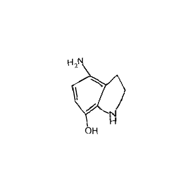 Nc1ccc(O)c2c1CCN2